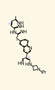 CC(=N)/C=C\C(=N)NC(=N)Sc1ccc2ncc(/C(C=N)=C/NC3CN(C(C)C)C3)cc2c1